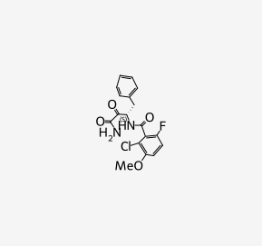 COc1ccc(F)c(C(=O)N[C@@H](Cc2ccccc2)C(=O)C(N)=O)c1Cl